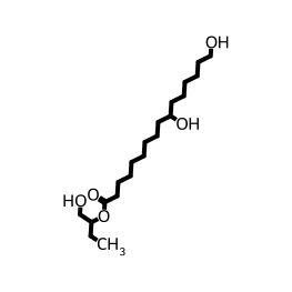 CCC(CO)OC(=O)CCCCCCCCC(O)CCCCCCO